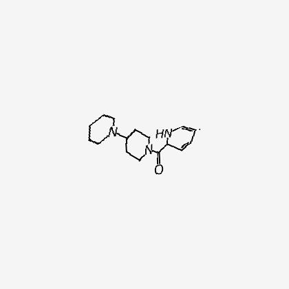 O=C(C1C=C[C]=CN1)N1CCC(N2CCCCC2)CC1